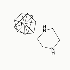 C1CNCCN1.[CH]12[CH]3[CH]4[CH]5[CH]1[Fe]23451678[CH]2[CH]1[CH]6[CH]7[CH]28